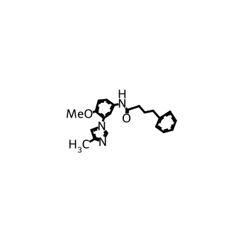 COc1ccc(NC(=O)CCCc2ccccc2)cc1-n1cnc(C)c1